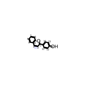 O=C(/C=C\c1ccccc1)c1ccc(O)cc1